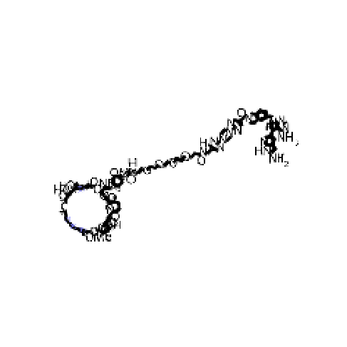 CO[C@H]1C[C@@H]2CC[C@@H](C)[C@@](O)(O2)C(=O)C(=O)N2CCCC[C@H]2C(=O)O[C@H]([C@H](N)C[C@@H]2CC[C@@H](OC(=O)NCCOCCOCCOCCOCCC(=O)NCc3cnc(N4CCN(c5ncc(C(=O)N6CCc7cc(Cn8nc(-c9cnc%10[nH]c(N)cc%10c9)c9c(N)ncnc98)ccc7C6)cn5)CC4)nc3)[C@H](OC)C2)CC(=O)[C@H](C)/C=C(\C)[C@@H](O)[C@@H](O)C(=O)[C@H](C)C[C@H](C)/C=C/C=C/C=C/1C